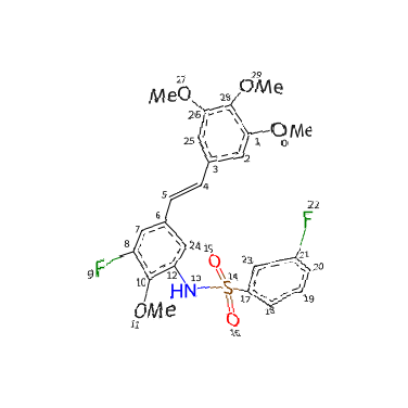 COc1cc(C=Cc2cc(F)c(OC)c(NS(=O)(=O)c3cccc(F)c3)c2)cc(OC)c1OC